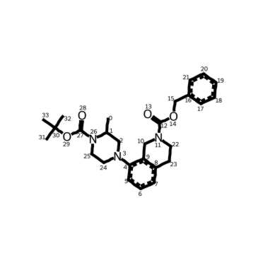 CC1CN(c2cccc3c2CN(C(=O)OCc2ccccc2)CC3)CCN1C(=O)OC(C)(C)C